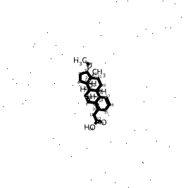 CO[C@@H]1CC[C@H]2[C@@H]3C=CC4=C(CC(=O)O)CC=C[C@@H]4[C@H]3CC[C@]12C